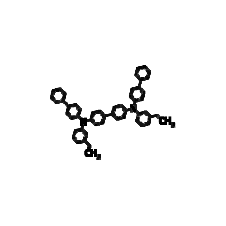 C=Cc1cccc(N(c2ccc(-c3ccccc3)cc2)c2ccc(-c3ccc(N(c4ccc(-c5ccccc5)cc4)c4cccc(C=C)c4)cc3)cc2)c1